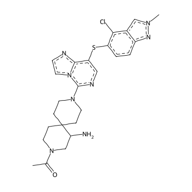 CC(=O)N1CCC2(CCN(c3ncc(Sc4ccc5nn(C)cc5c4Cl)c4nccn34)CC2)C(N)C1